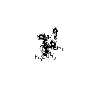 Cc1cc(OCCN2CCCC2)ccc1NC1=C(C(=O)OC(C)C)C(=O)C(=Cc2c[nH]c3ncccc23)O1